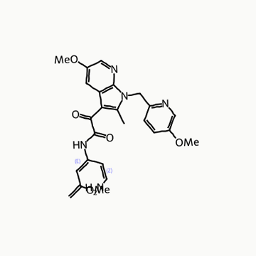 C=C(/C=C(\C=C/N)NC(=O)C(=O)c1c(C)n(Cc2ccc(OC)cn2)c2ncc(OC)cc12)OC